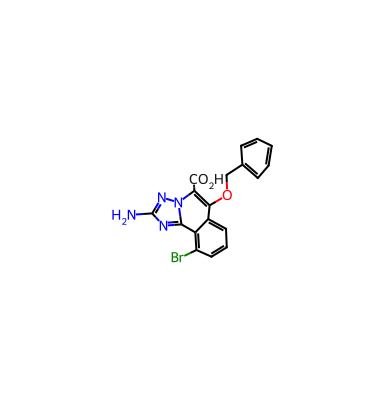 Nc1nc2c3c(Br)cccc3c(OCc3ccccc3)c(C(=O)O)n2n1